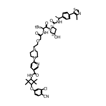 Cc1ncsc1-c1ccc([C@H](C)NC(=O)[C@@H]2C[C@@H](O)CN2C(=O)C(NC(=O)COCCN2CCN(c3ccc(C(=O)NC4C(C)(C)C(Oc5ccc(C#N)c(Cl)c5)C4(C)C)cn3)CC2)C(C)(C)C)cc1